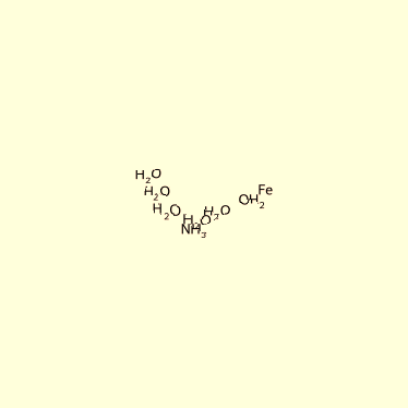 N.O.O.O.O.O.O.[Fe]